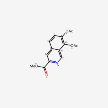 COC(=O)c1cc2ccc(OC(C)=O)c(OC(C)=O)c2cn1